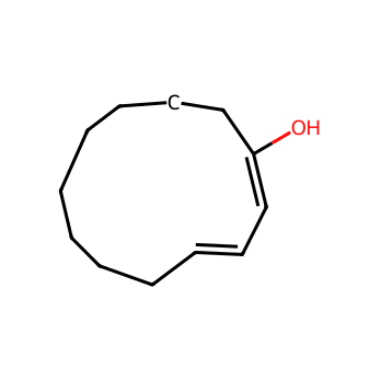 O/C1=C/C=C/CCCCCCCC1